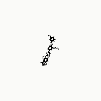 COc1cc(-c2cnc(Nc3ccc4[nH]ncc4c3)o2)ccc1OCc1cccc(Cl)c1